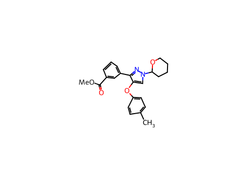 COC(=O)c1cccc(-c2nn(C3CCCCO3)cc2Oc2ccc(C)cc2)c1